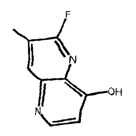 Cc1cc2nccc(O)c2nc1F